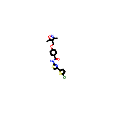 Cc1noc(C)c1COc1ccc(C(=O)Nc2nc(-c3ccc(Cl)s3)cs2)cc1